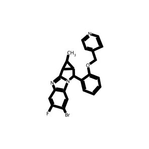 CC1C2c3nc4cc(F)c(Br)cc4n3C(c3ccccc3OCc3ccncc3)C12